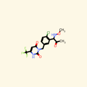 CONC(C(C)=O)c1cc(Cn2c(=O)cc(C(F)(F)F)[nH]c2=O)ccc1Cl